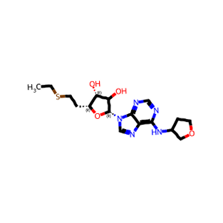 CCSCC[C@H]1O[C@@H](n2cnc3c(NC4CCOC4)ncnc32)C(O)[C@H]1O